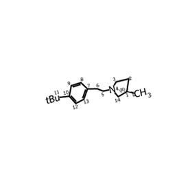 C[C@@H]1CCN(CCc2ccc(C(C)(C)C)cc2)C1